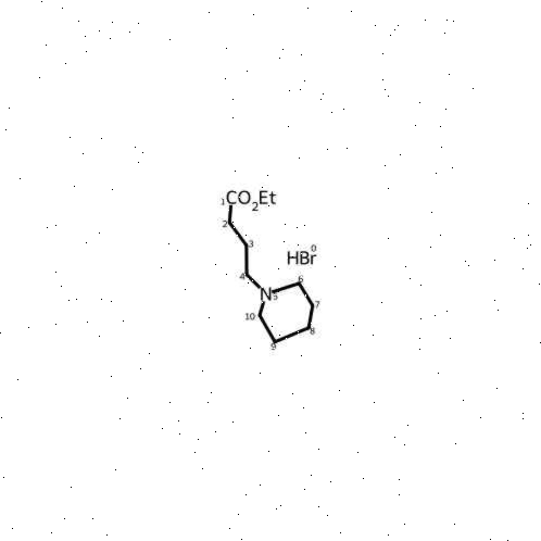 Br.CCOC(=O)CCCN1CCCCC1